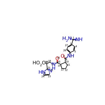 N=C(N)c1ccc(NC(=O)C2CCCC2C(=O)NCC(C(=O)O)c2ncc[nH]2)cc1